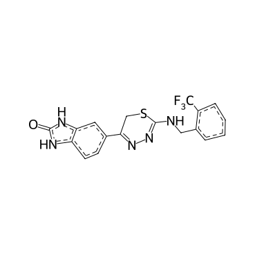 O=c1[nH]c2ccc(C3=NN=C(NCc4ccccc4C(F)(F)F)SC3)cc2[nH]1